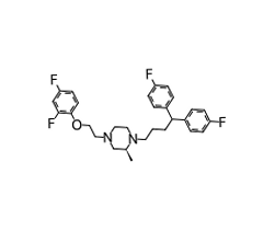 C[C@H]1CN(CCOc2ccc(F)cc2F)CCN1CCCC(c1ccc(F)cc1)c1ccc(F)cc1